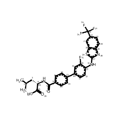 CC(C)C[C@H](NC(=O)c1ccc(-c2ccc(Nc3nc4ccc(C(F)(F)F)cc4s3)c(F)c2)cc1)C(=O)O